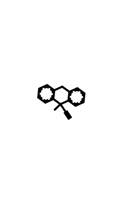 C#CC1(C)c2ccccc2Cc2ccccc21